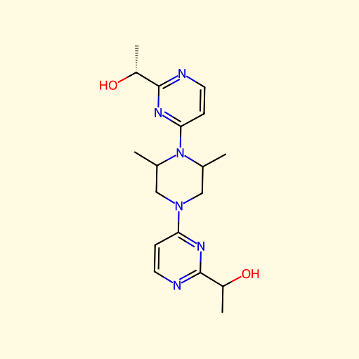 CC(O)c1nccc(N2CC(C)N(c3ccnc([C@@H](C)O)n3)C(C)C2)n1